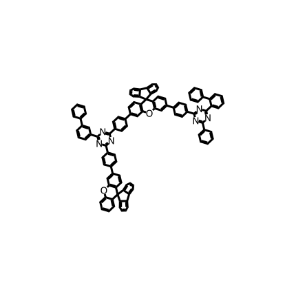 c1ccc(-c2cccc(-c3nc(-c4ccc(-c5ccc6c(c5)Oc5ccccc5C65c6ccccc6-c6ccccc65)cc4)nc(-c4ccc(-c5ccc6c(c5)Oc5cc(-c7ccc(-c8nc(-c9ccccc9)nc(-c9ccccc9-c9ccccc9)n8)cc7)ccc5C65c6ccccc6-c6ccccc65)cc4)n3)c2)cc1